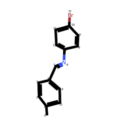 Cc1ccc(C=Nc2ccc(Br)cc2)cc1